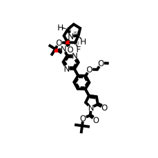 COCOc1cc(C2=CC(=O)N(C(=O)OC(C)(C)C)C2)ccc1-c1cnc(N(C)[C@@H]2C[C@H]3CC[C@@H]([C@@H]2F)N3C(=O)OC(C)(C)C)cn1